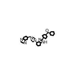 O=C(c1ccccc1)c1ccc(-c2nc3c(N4CCN(Cc5ccc6nccnc6c5)CC4)cccc3[nH]2)cc1